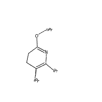 CCCOC1=NC(C(C)C)=C(C(C)C)CC1